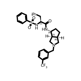 CC(C)C[C@H](NS(=O)(=O)c1ccccc1)C(=O)N[C@@H]1CC[C@H]2CN(Cc3cccc(C(F)(F)F)c3)C[C@H]21